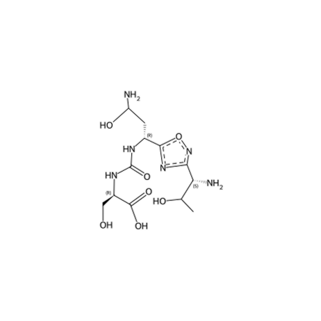 CC(O)[C@@H](N)c1noc([C@@H](CC(N)O)NC(=O)N[C@H](CO)C(=O)O)n1